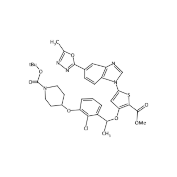 COC(=O)c1sc(-n2cnc3cc(-c4nnc(C)o4)ccc32)cc1OC(C)c1cccc(OC2CCN(C(=O)OC(C)(C)C)CC2)c1Cl